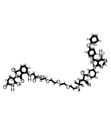 CN(CCOCCOCCOCCNC(=O)CNc1cccc2c1C(=O)N(C1CCC(=O)NC1=O)C2=O)C(C)(C)/C=C(\C#N)C(=O)N1CCC[C@@H](n2nc(-c3ccc(Oc4ccccc4)cc3)c3c(N)ncnc32)C1